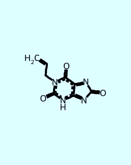 C=CCn1c(=O)[nH]c2c(c1=O)=NC(=O)N=2